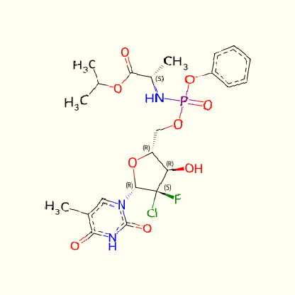 Cc1cn([C@@H]2O[C@H](COP(=O)(N[C@@H](C)C(=O)OC(C)C)Oc3ccccc3)[C@@H](O)[C@]2(F)Cl)c(=O)[nH]c1=O